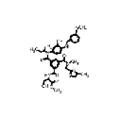 CCC(C)N(C(=O)c1cc(C(=O)NC(CO)C(=O)OC)cc(C(=O)N(C)Cc2nc(C)cs2)c1)c1ccc(NCc2cccc(OC)c2)c(O)c1